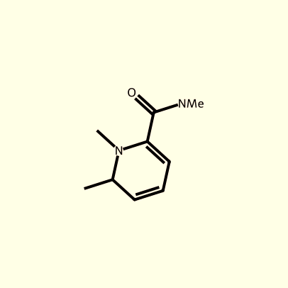 CNC(=O)C1=CC=CC(C)N1C